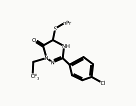 CCCSC1NC(c2ccc(Cl)cc2)=NN(CC(F)(F)F)C1=O